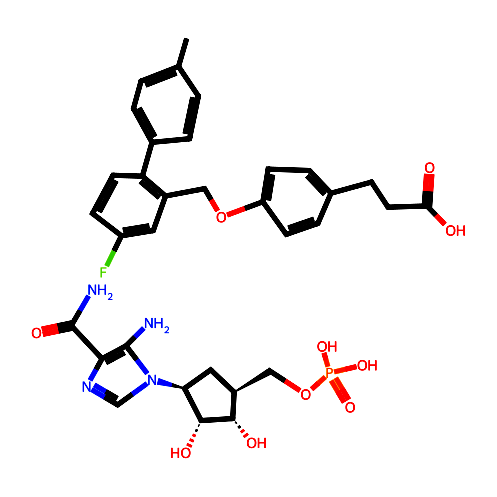 Cc1ccc(-c2ccc(F)cc2COc2ccc(CCC(=O)O)cc2)cc1.NC(=O)c1ncn([C@H]2C[C@@H](COP(=O)(O)O)[C@H](O)[C@@H]2O)c1N